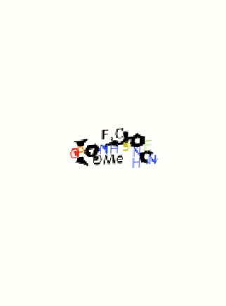 COc1cc(P(=O)(C2CC2)C2CC2)ccc1NCC#Cc1sc2c(N[C@@H]3CCN(C)C[C@@H]3F)cccc2c1CC(F)(F)F